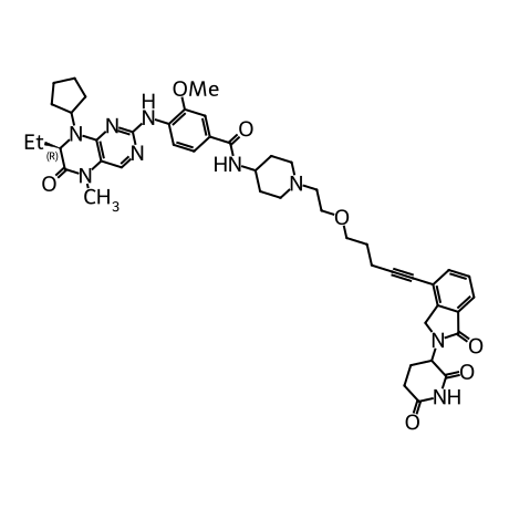 CC[C@@H]1C(=O)N(C)c2cnc(Nc3ccc(C(=O)NC4CCN(CCOCCCC#Cc5cccc6c5CN(C5CCC(=O)NC5=O)C6=O)CC4)cc3OC)nc2N1C1CCCC1